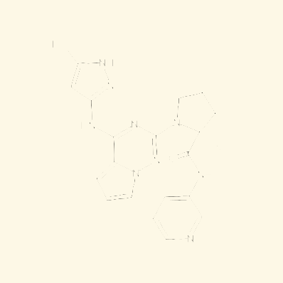 Cc1cc(Nc2nc(N3CCC[C@@]3(C)C(=O)Nc3cccnc3)nn3cccc23)n[nH]1